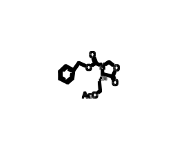 CC(=O)OCC[C@H]1C(=O)OCN1C(=O)OCc1ccccc1